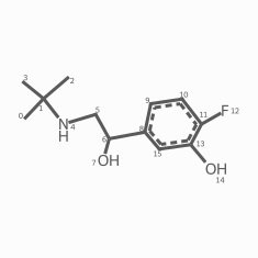 CC(C)(C)NCC(O)c1ccc(F)c(O)c1